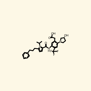 CC(C)n1c(CCCc2ccccc2)ccc1C(=O)Nc1cc(CC(=O)O)c(N2CC[C@@H](O)C2)cc1C(F)(F)F